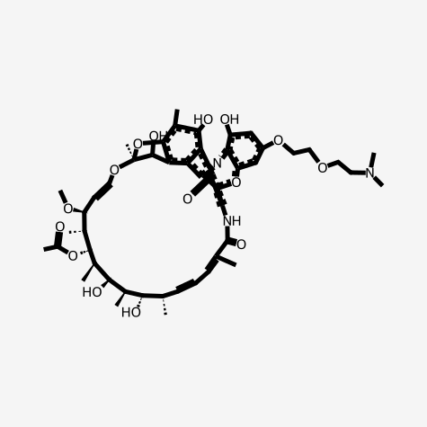 CO[C@H]1/C=C/O[C@@]2(C)Oc3c(C)c(O)c4c(=O)c(c5oc6cc(OCCOCCN(C)C)cc(O)c6nc-5c4c3C2O)NC(=O)/C(C)=C\C=C\[C@H](C)[C@H](O)[C@@H](C)[C@@H](O)[C@@H](C)[C@H](OC(C)=O)[C@@H]1C